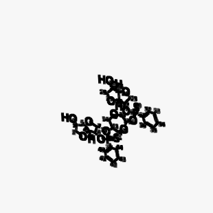 OC1CO[C@@H]2C1OC[C@H]2OP(=S)(OC1COC[C@@H](OP(=S)(O[C@H]2CO[C@@H]3C(O)CO[C@H]23)c2ccccc2)OC1)c1ccccc1